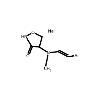 CC(=O)C=CN(C)C1CONC1=O.[NaH]